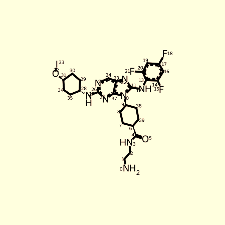 NCCNC(=O)[C@H]1CC[C@@H](n2c(Nc3c(F)cc(F)cc3F)nc3cnc(N[C@H]4CC[C@H](OI)CC4)nc32)CC1